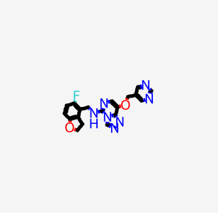 Fc1ccc2c(c1CNc1ncc(OCc3cncnc3)c3nncn13)CCO2